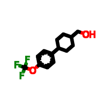 OCC1CCC(c2ccc(OC(F)(F)F)cc2)CC1